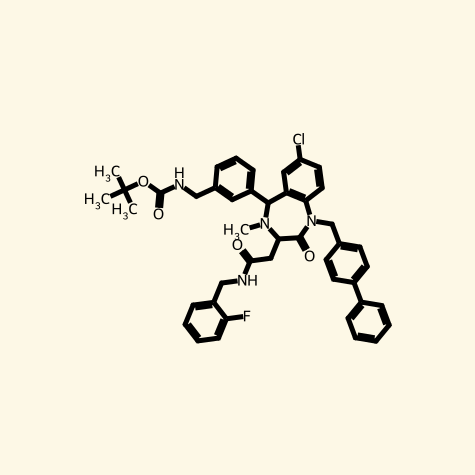 CN1C(CC(=O)NCc2ccccc2F)C(=O)N(Cc2ccc(-c3ccccc3)cc2)c2ccc(Cl)cc2C1c1cccc(CNC(=O)OC(C)(C)C)c1